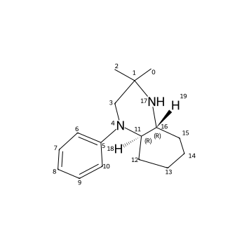 CC1(C)CN(c2ccccc2)[C@@H]2CCCC[C@H]2N1